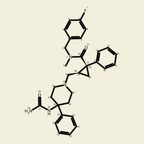 CN(Cc1ccc(F)cc1)C(=O)[C@@]1(c2ccccc2)C[C@H]1CN1CCC(NC(N)=O)(c2ccccc2)CC1